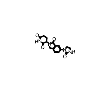 O=C1CCC(N2Cc3ccc(N4CCNC4=O)cc3C2=O)C(=O)N1